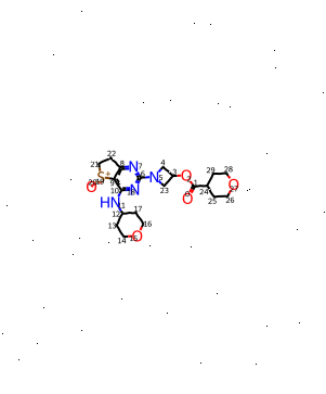 O=C(OC1CN(c2nc3c(c(NC4CCOCC4)n2)[S@@+]([O-])CC3)C1)C1CCOCC1